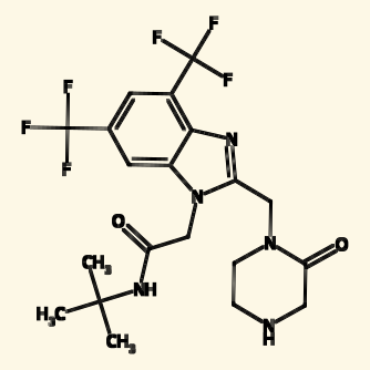 CC(C)(C)NC(=O)Cn1c(CN2CCNCC2=O)nc2c(C(F)(F)F)cc(C(F)(F)F)cc21